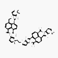 C[Si]1(C)C=Cc2c1nc1c3ccc4c(=O)n5c6c(nc5c5ccc(c(=O)n21)c3c45)[Si](C)(CC[Si]1(C)C=Cc2c1nc1c3ccc4c5c(ccc(c(=O)n21)c35)c(=O)n1c2c(nc41)[Si](C)(C)C=C2)C=C6